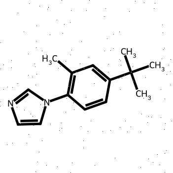 Cc1cc(C(C)(C)C)ccc1-n1ccnc1